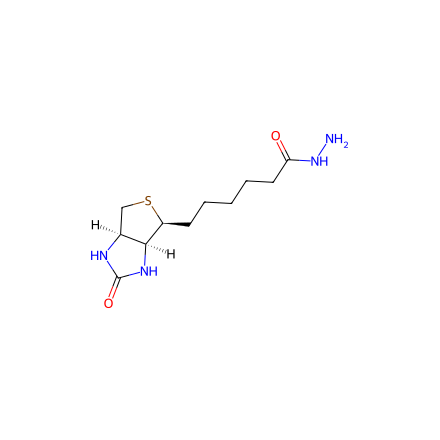 NNC(=O)CCCCC[C@@H]1SC[C@@H]2NC(=O)N[C@@H]21